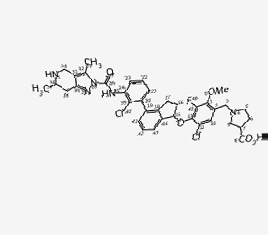 COc1c(CN2CCC(C(=O)O)C2)cc(Cl)c(OC2CCc3c(-c4cccc(NC(=O)n5nc6c(c5C)CNC(C)C6)c4Cl)cccc32)c1F